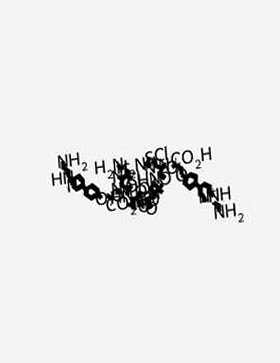 C[n+]1cc(-c2ccc(OC[C@H](O/N=C(\C(=O)N[C@@H]3C(=O)N(OS(=O)(=O)ON4C(=O)[C@@H](NC(=O)/C(=N\O[C@@H](COc5ccc(-c6ccc(NCCN)[n+](C)c6)cc5)C(=O)O)c5nc(N)sc5Cl)C4(C)C)C3(C)C)c3nc(N)sc3Cl)C(=O)O)cc2)ccc1NCCN